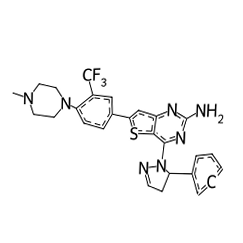 CN1CCN(c2ccc(-c3cc4nc(N)nc(N5N=CCC5c5ccccc5)c4s3)cc2C(F)(F)F)CC1